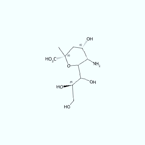 C[C@@]1(C(=O)O)C[C@H](O)C(N)C(C(O)[C@H](O)CO)O1